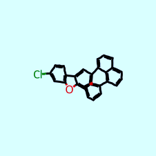 Clc1ccc2c(c1)oc1ccc(-c3cccc4cccc(-c5ccccc5)c34)cc12